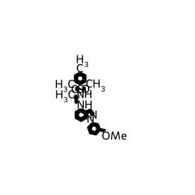 COCc1cccc(-n2ncc3c(NC[C@H](C)NS(=O)(=O)c4c(C)cc(C)cc4C)cccc32)c1